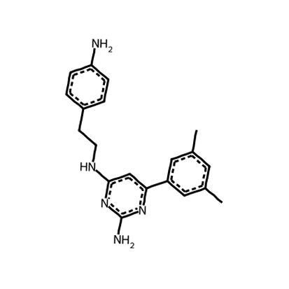 Cc1cc(C)cc(-c2cc(NCCc3ccc(N)cc3)nc(N)n2)c1